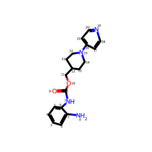 Nc1ccccc1NC(=O)OCC1CCN(c2ccncc2)CC1